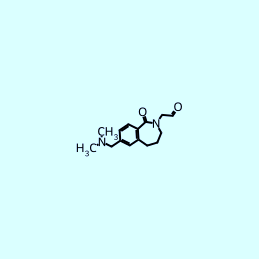 CN(C)Cc1ccc2c(c1)CCCN(CC=O)C2=O